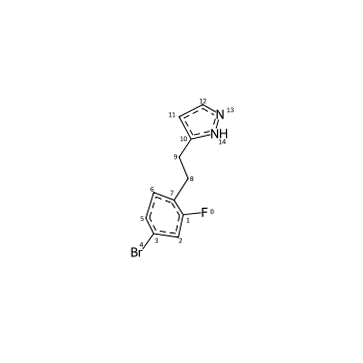 Fc1cc(Br)ccc1CCc1ccn[nH]1